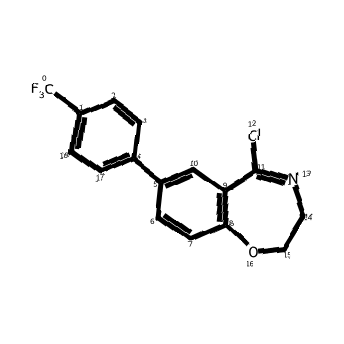 FC(F)(F)c1ccc(-c2ccc3c(c2)C(Cl)=NCCO3)cc1